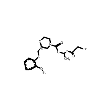 CCOc1ccccc1OC[C@@H]1CN(C(=O)OC(C)OC(=O)CC(C)C)CCO1